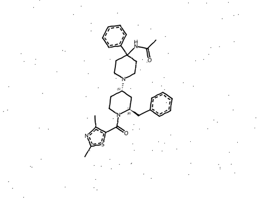 CC(=O)NC1(c2ccccc2)CCN([C@H]2CCN(C(=O)c3sc(C)nc3C)[C@H](Cc3ccccc3)C2)CC1